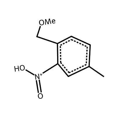 COCc1ccc(C)cc1[N+](=O)O